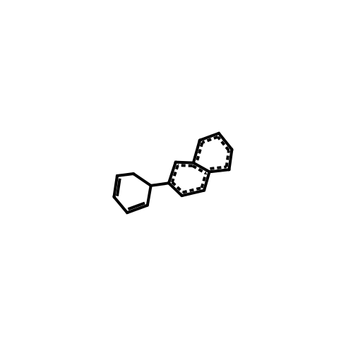 C1=CCC(c2ccc3ccccc3c2)C=C1